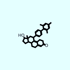 Cc1cc(C)c(-c2ccc(C3CC4(C)C(O)CCC4C4CCC5=CC(=O)CCC5=C34)cc2)c(C)c1